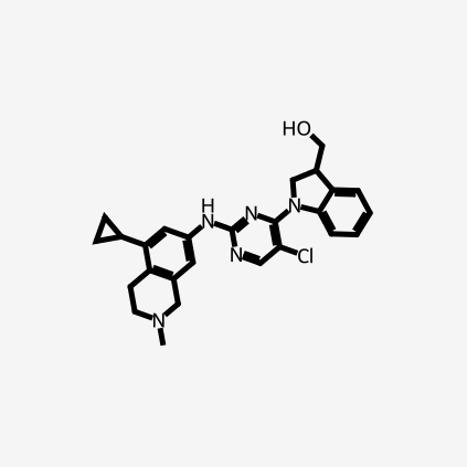 CN1CCc2c(cc(Nc3ncc(Cl)c(N4CC(CO)c5ccccc54)n3)cc2C2CC2)C1